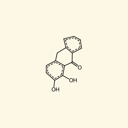 O=C1c2ccccc2Cc2ccc(O)c(O)c21